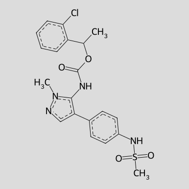 CC(OC(=O)Nc1c(-c2ccc(NS(C)(=O)=O)cc2)cnn1C)c1ccccc1Cl